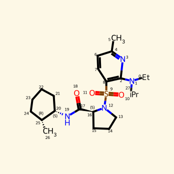 CCN(c1nc(C)ccc1S(=O)(=O)N1CCC[C@H]1C(=O)N[C@H]1CCCC[C@H]1C)C(C)C